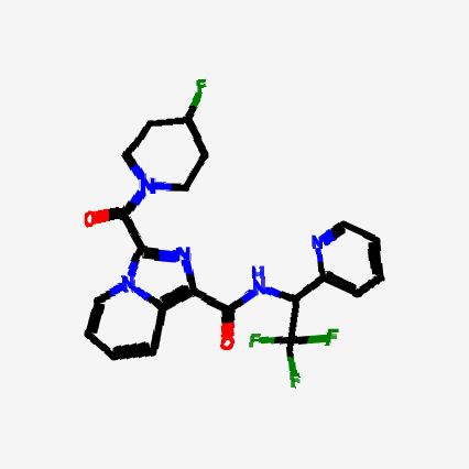 O=C(NC(c1ccccn1)C(F)(F)F)c1nc(C(=O)N2CCC(F)CC2)n2ccccc12